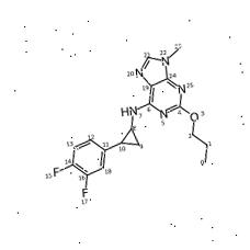 CCCOc1nc(NC2CC2c2ccc(F)c(F)c2)c2ncn(C)c2n1